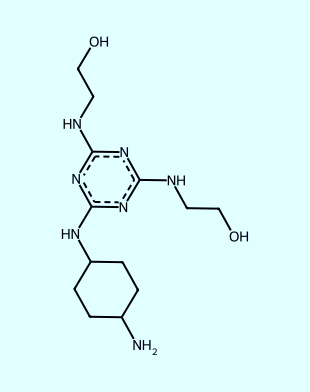 NC1CCC(Nc2nc(NCCO)nc(NCCO)n2)CC1